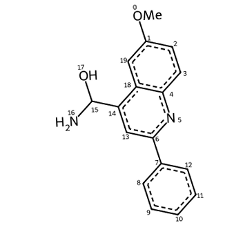 COc1ccc2nc(-c3ccccc3)cc(C(N)O)c2c1